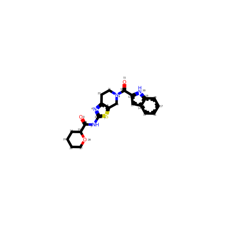 O=C(Nc1nc2c(s1)CN(C(=O)c1cc3ccccc3[nH]1)CC2)C1CCCCO1